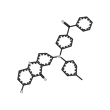 Cc1ccc([SH](c2ccc(C(=O)c3ccccc3)cc2)c2ccc3sc4ccc(Cl)cc4c(=O)c3c2)cc1